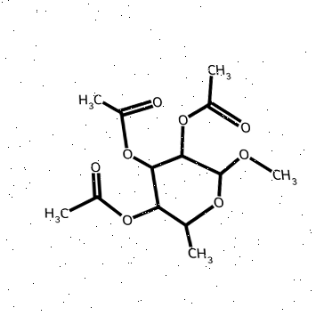 COC1OC(C)C(OC(C)=O)C(OC(C)=O)C1OC(C)=O